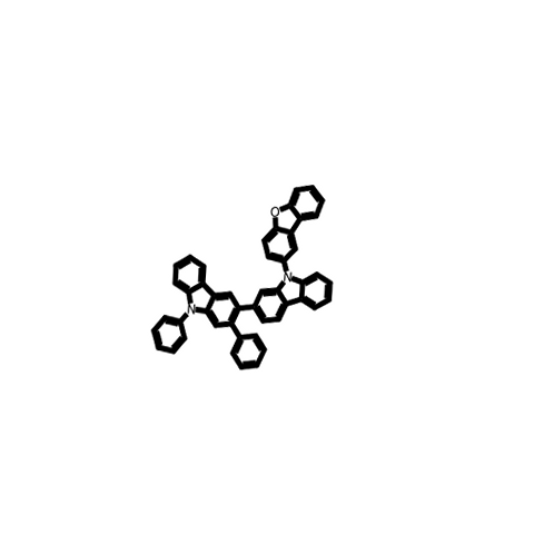 c1ccc(-c2cc3c(cc2-c2ccc4c5ccccc5n(-c5ccc6oc7ccccc7c6c5)c4c2)c2ccccc2n3-c2ccccc2)cc1